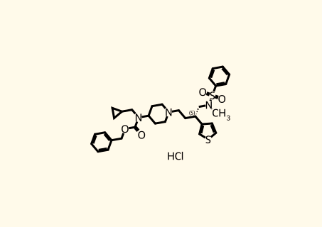 CN(C[C@@H](CCN1CCC(N(CC2CC2)C(=O)OCc2ccccc2)CC1)c1ccsc1)S(=O)(=O)c1ccccc1.Cl